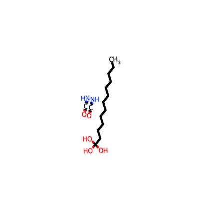 CCCCCCCCCCCCC(O)(O)O.N=C=O.N=C=O